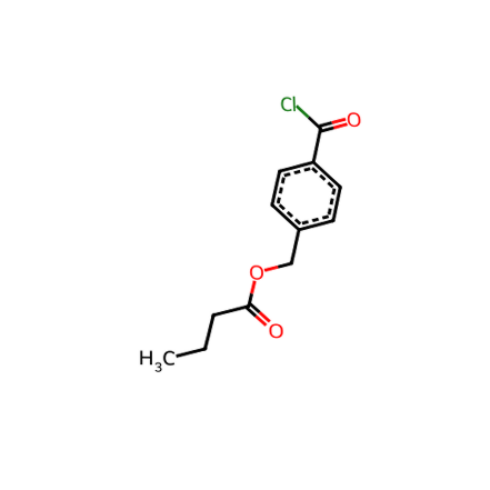 CCCC(=O)OCc1ccc(C(=O)Cl)cc1